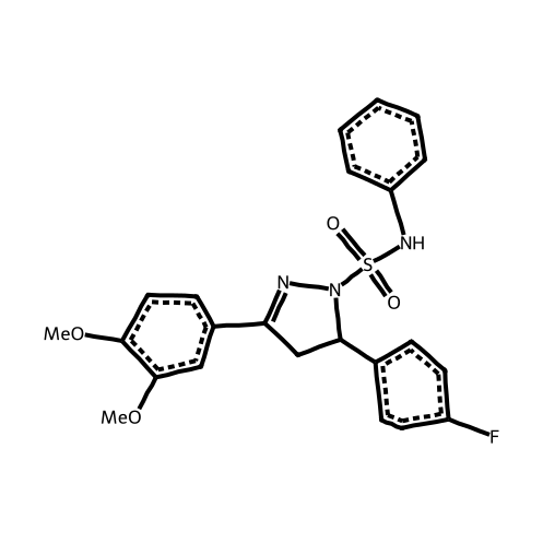 COc1ccc(C2=NN(S(=O)(=O)Nc3ccccc3)C(c3ccc(F)cc3)C2)cc1OC